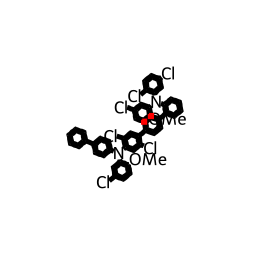 COc1ccc(Cl)cc1N(c1ccc(-c2ccccc2)cc1)c1cc(Cl)c(-c2ccc(-c3ccccc3N(c3cc(Cl)ccc3Cl)c3cc(Cl)ccc3OC)cc2)cc1Cl